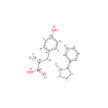 CN1CCCC1c1cccnc1.NC(Cc1ccc(O)cc1)C(=O)O